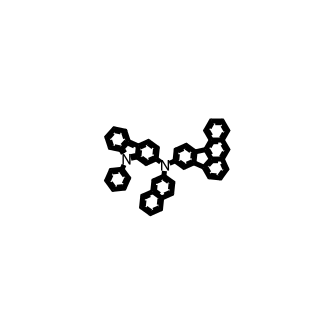 c1ccc(-n2c3ccccc3c3ccc(N(c4ccc5c(c4)-c4cccc6cc7ccccc7c-5c46)c4ccc5ccccc5c4)cc32)cc1